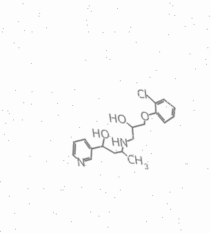 CC(CC(O)c1cccnc1)NCC(O)COc1ccccc1Cl